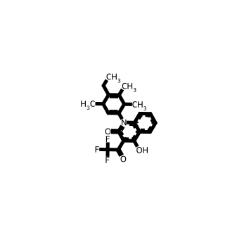 CCC1=C(C)C(C)C(n2c(=O)c(C(=O)C(F)(F)F)c(O)c3ccccc32)=CC1C